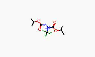 CC(C)OC(=O)NN(C(=O)OC(C)C)C(F)(F)F